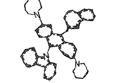 c1ccc2cc(-c3c4cc(N5CCCCC5)ccc4c(-n4c5ccccc5c5ccccc54)c4cc(N5CCCCC5)ccc34)ccc2c1